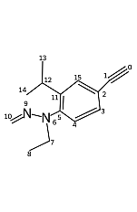 C#Cc1ccc(N(CC)N=C)c(C(C)C)c1